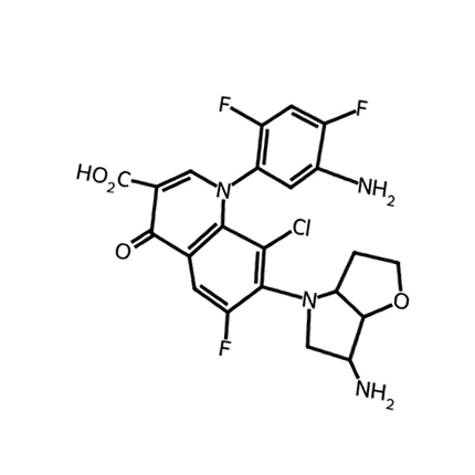 Nc1cc(-n2cc(C(=O)O)c(=O)c3cc(F)c(N4CC(N)C5OCCC54)c(Cl)c32)c(F)cc1F